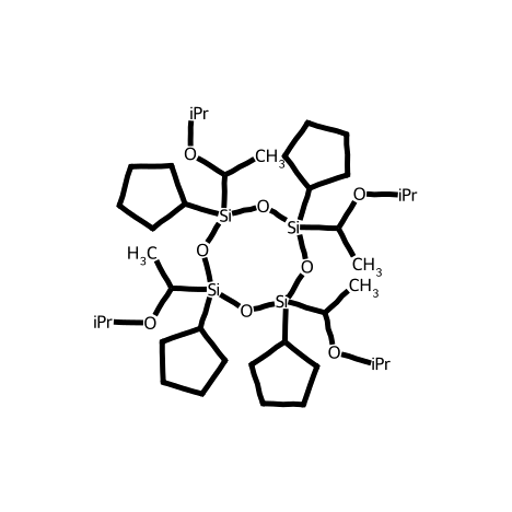 CC(C)OC(C)[Si]1(C2CCCC2)O[Si](C2CCCC2)(C(C)OC(C)C)O[Si](C2CCCC2)(C(C)OC(C)C)O[Si](C2CCCC2)(C(C)OC(C)C)O1